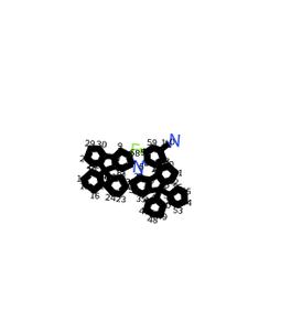 N#Cc1ccc(N(c2ccc3c(c2)C(c2ccccc2)(c2ccccc2)c2ccccc2-3)c2cccc3c2-c2ccccc2C3(c2ccccc2)c2ccccc2)c(F)c1